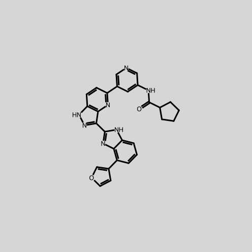 O=C(Nc1cncc(-c2ccc3[nH]nc(-c4nc5c(-c6ccoc6)cccc5[nH]4)c3n2)c1)C1CCCC1